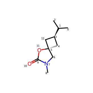 CC(C)[C@H]1C[C@@]2(CN(C)C(=O)O2)C1